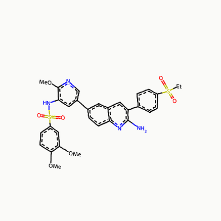 CCS(=O)(=O)c1ccc(-c2cc3cc(-c4cnc(OC)c(NS(=O)(=O)c5ccc(OC)c(OC)c5)c4)ccc3nc2N)cc1